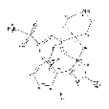 NS(=O)(=O)c1ccc2c(c1)C1(CCNCC1)C[N+]2(CCC(F)(F)F)C(=O)c1c(F)cccc1F